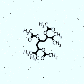 CC(=O)OC(CC(OC(C)=O)C(C)C)CC(OC(C)=O)C(C)C